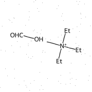 CC[N+](C)(CC)CC.O=CO